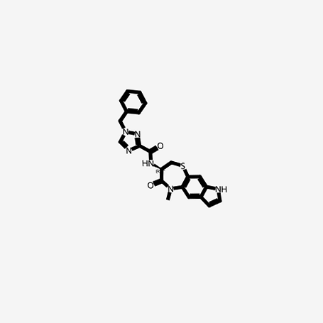 CN1C(=O)[C@@H](NC(=O)c2ncn(Cc3ccccc3)n2)CSc2cc3[nH]ccc3cc21